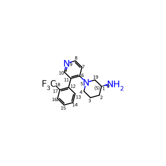 N[C@H]1CCCN(c2ccncc2-c2ccc[c]c2C(F)(F)F)C1